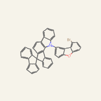 Brc1cccc2oc3ccc(-n4c5ccccc5c5ccc6c(c54)-c4ccccc4C64c5ccccc5-c5ccccc54)cc3c12